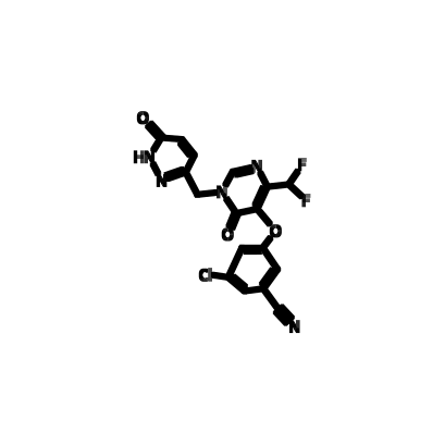 N#Cc1cc(Cl)cc(Oc2c(C(F)F)ncn(Cc3ccc(=O)[nH]n3)c2=O)c1